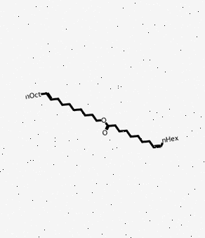 CCCCCC/C=C\CCCCCCCC(=O)OCCCCCCCC/C=C/CCCCCCCC